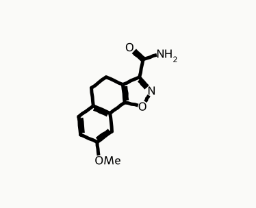 COc1ccc2c(c1)-c1onc(C(N)=O)c1CC2